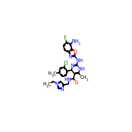 CCn1cnc(CNC(=O)C2=C(C)NC(Nc3nc4ccc(F)c(N)c4o3)=NC2c2ccc(C)cc2Cl)c1